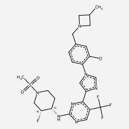 CC1CN(Cc2ccc(-n3cnc(-c4nc(N[C@H]5CCN(S(C)(=O)=O)C[C@H]5F)ncc4C(F)(F)F)c3)c(Cl)c2)C1